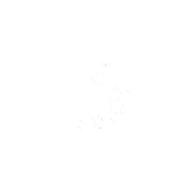 Cc1c(-c2cc3cc(Nc4cc5n(n4)CC(=O)N([C@@H]4CCOC4)CC5)ncc3c(N)n2)cnc2c1NCCO2